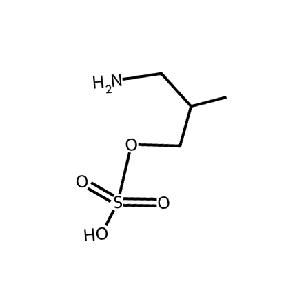 CC(CN)COS(=O)(=O)O